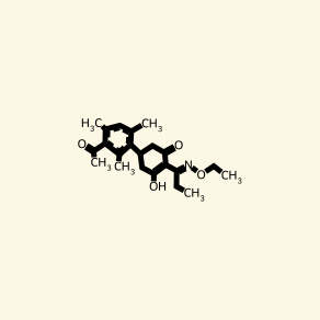 CCON=C(CC)C1=C(O)CC(c2c(C)cc(C)c(C(C)=O)c2C)CC1=O